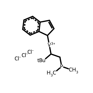 CP(C)C[CH]([V+3][CH]1C=Cc2ccccc21)C(C)(C)C.[Cl-].[Cl-].[Cl-]